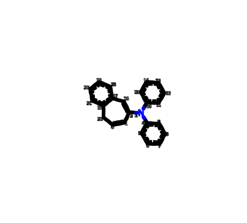 C1=CC(N(c2ccccc2)c2ccccc2)=Cc2ccccc2C1